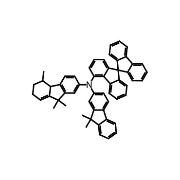 CC1CCC=C2C1c1ccc(N(c3ccc4c(c3)C(C)(C)c3ccccc3-4)c3cccc4c3-c3ccccc3C43c4ccccc4-c4ccccc43)cc1C2(C)C